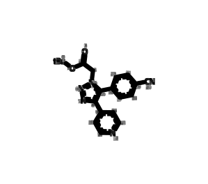 CC(C)(C)OC(=O)Cn1nnc(-c2ccncc2)c1-c1ccc(C#N)cc1